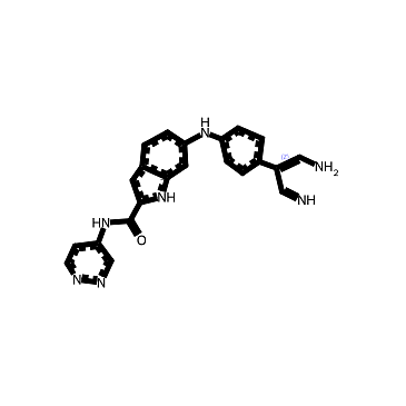 N=C/C(=C\N)c1ccc(Nc2ccc3cc(C(=O)Nc4ccnnc4)[nH]c3c2)cc1